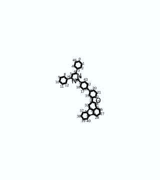 c1ccc(-c2cc(-c3ccccc3)nc(-c3ccc(-c4ccc5oc6c7cccc8c7c(cc6c5c4)-c4ccccc4-8)cc3)n2)cc1